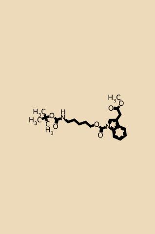 COC(=O)Cc1cn(C(=O)OCCCCCNC(=O)OC(C)(C)C)c2ccccc12